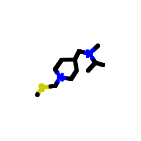 CSCN1CCC(CN(C)C(C)C)CC1